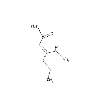 CCC/C(=C/C(C)=O)NC